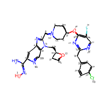 N/C(=N\O)c1cc2nc(CN3CCC(Oc4nc(Cc5ccc(Cl)cc5)ncc4F)CC3)n(C[C@@H]3CCO3)c2cn1